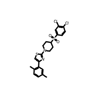 Cc1ccc(C)c(-c2csc(N3CCC(S(=O)(=O)c4ccc(Cl)c(Cl)c4)CC3)n2)c1